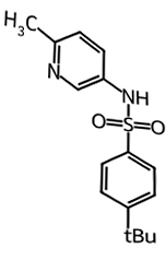 Cc1ccc(NS(=O)(=O)c2ccc(C(C)(C)C)cc2)cn1